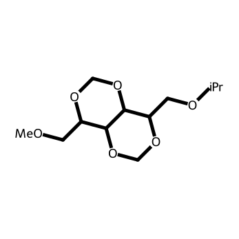 COCC1OCOC2C(COC(C)C)OCOC12